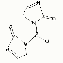 O=C1N=CCN1P(Cl)N1CC=NC1=O